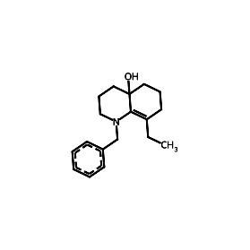 CCC1=C2N(Cc3ccccc3)CCCC2(O)CCC1